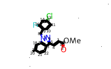 COC(=O)/C=C/c1nn(Cc2ccc(Cl)cc2F)c2cc(C)ccc12